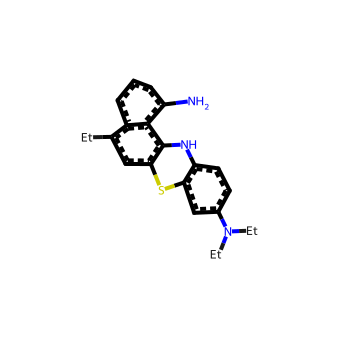 CCc1cc2c(c3c(N)cccc13)Nc1ccc(N(CC)CC)cc1S2